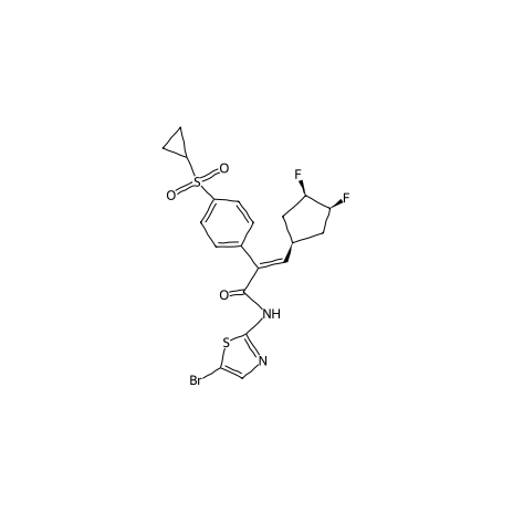 O=C(Nc1ncc(Br)s1)/C(=C/[C@H]1C[C@@H](F)[C@@H](F)C1)c1ccc(S(=O)(=O)C2CC2)cc1